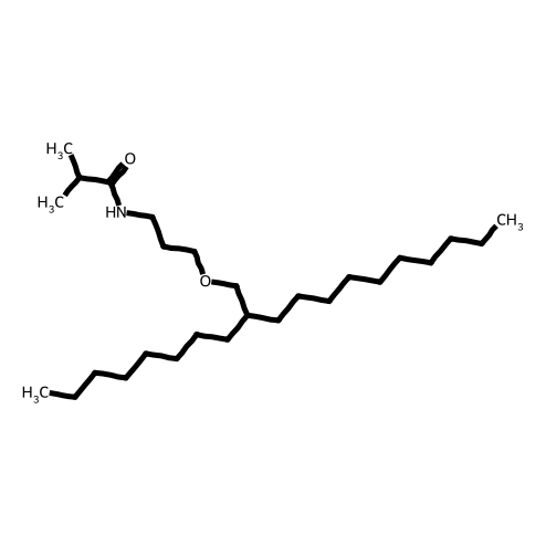 CCCCCCCCCCC(CCCCCCCC)COCCCNC(=O)C(C)C